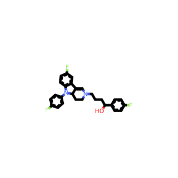 OC(CCCN1C=C2c3cc(F)ccc3N(c3ccc(F)cc3)C2CC1)c1ccc(F)cc1